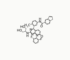 Cc1ccc(NC(=O)c2ccc3c(c2)C=CC3)cc1-c1nc(NC(CO)CO)nc2c1ccc(=O)n2-c1c(F)cccc1F